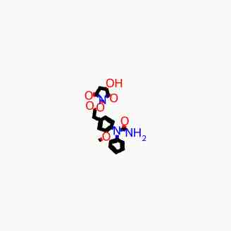 COc1cc(CC(=O)ON2C(=O)CC(O)C2=O)ccc1N(C(N)=O)c1ccccc1